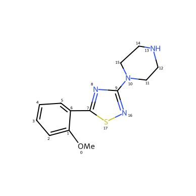 COc1ccccc1-c1nc(N2CCNCC2)ns1